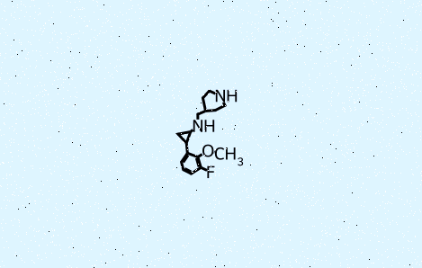 COc1c(F)cccc1C1CC1NCC1CCNCC1